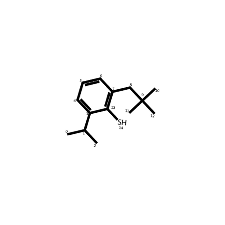 CC(C)c1cccc(CC(C)(C)C)c1S